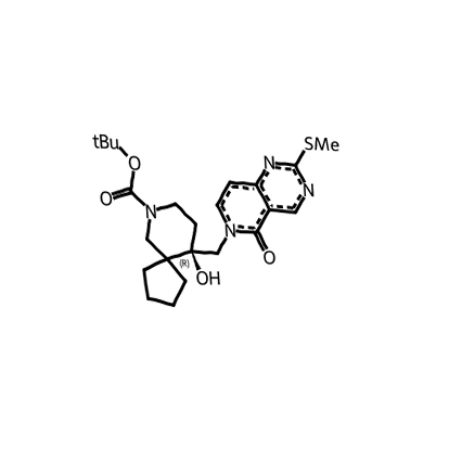 CSc1ncc2c(=O)n(C[C@@]3(O)CCN(C(=O)OC(C)(C)C)CC34CCCC4)ccc2n1